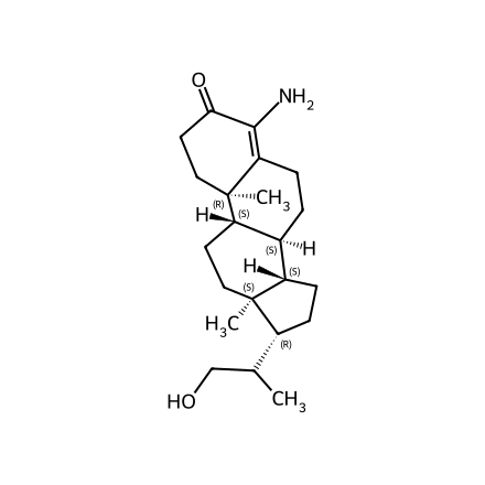 CC(CO)[C@H]1CC[C@H]2[C@@H]3CCC4=C(N)C(=O)CC[C@]4(C)[C@H]3CC[C@]12C